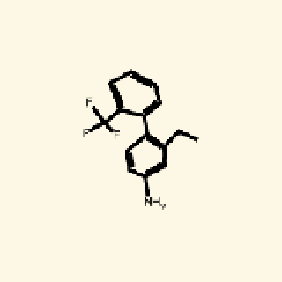 CCc1cc(N)ccc1-c1ccccc1C(F)(F)F